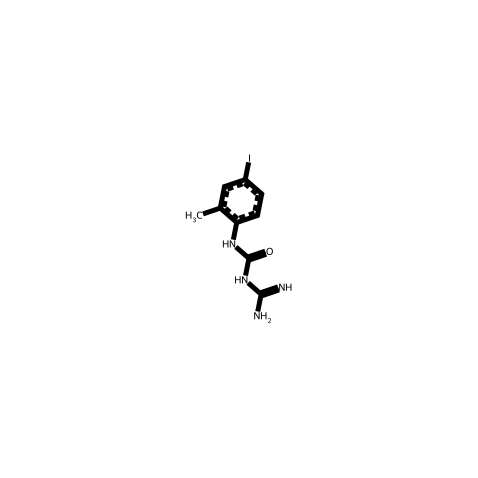 Cc1cc(I)ccc1NC(=O)NC(=N)N